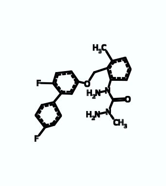 Cc1cccc(N(N)C(=O)N(C)N)c1COc1ccc(F)c(-c2ccc(F)cc2)c1